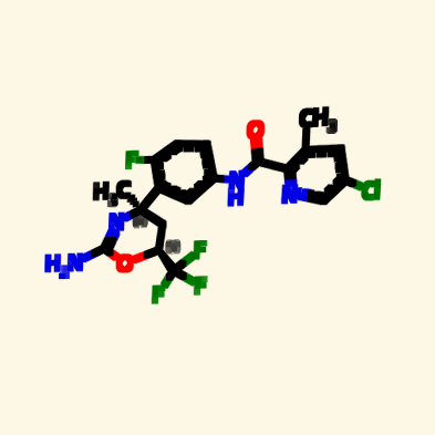 Cc1cc(Cl)cnc1C(=O)Nc1ccc(F)c([C@@]2(C)C[C@@H](C(F)(F)F)OC(N)=N2)c1